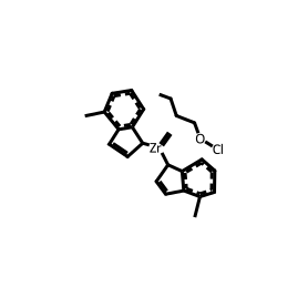 CCCCOCl.[CH2]=[Zr]([CH]1C=Cc2c(C)cccc21)[CH]1C=Cc2c(C)cccc21